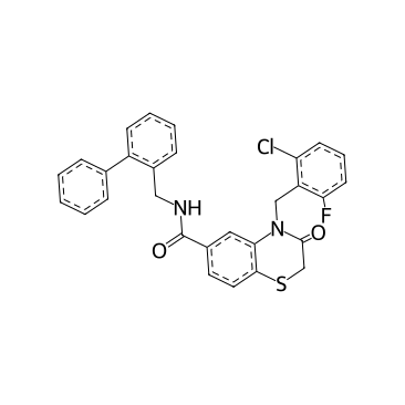 O=C(NCc1ccccc1-c1ccccc1)c1ccc2c(c1)N(Cc1c(F)cccc1Cl)C(=O)CS2